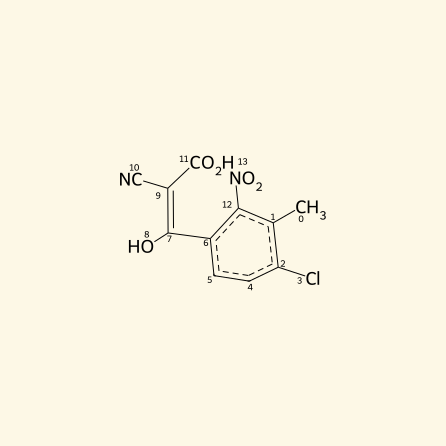 Cc1c(Cl)ccc(C(O)=C(C#N)C(=O)O)c1[N+](=O)[O-]